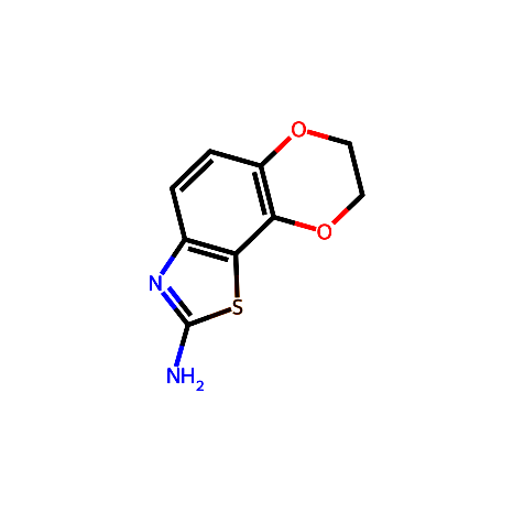 Nc1nc2ccc3c(c2s1)OCCO3